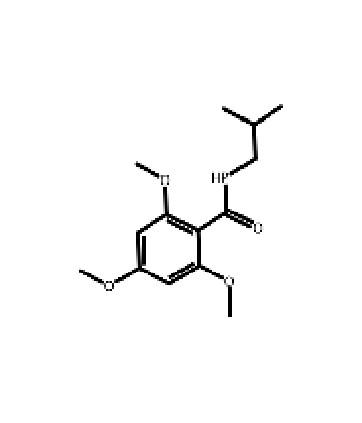 COc1cc(OC)c(C(=O)PCC(C)C)c(OC)c1